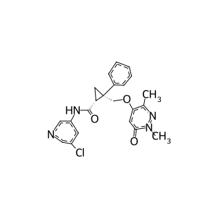 Cc1nn(C)c(=O)cc1OC[C@@]1(c2ccccc2)C[C@H]1C(=O)Nc1cncc(Cl)c1